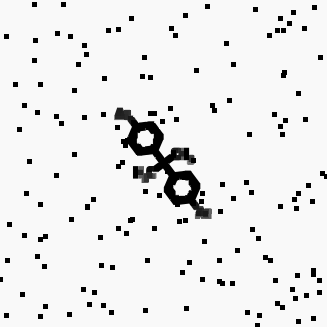 CC(=O)c1ccc(C(C)(C)c2ccc(C(C)=O)cc2)cc1